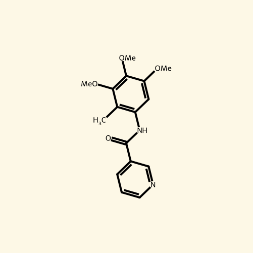 COc1cc(NC(=O)c2cccnc2)c(C)c(OC)c1OC